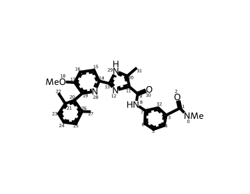 CNC(=O)c1cccc(NC(=O)c2nc(-c3ccc(OC)c(-c4c(C)cccc4C)n3)[nH]c2C)c1